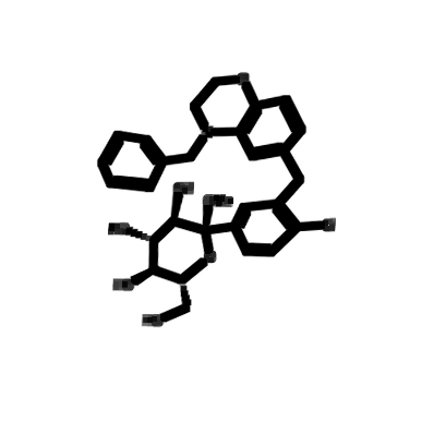 CO[C@@]1(c2ccc(Cl)c(Cc3ccc4c(c3)N(Cc3ccccc3)CCO4)c2)O[C@H](CO)[C@@H](O)[C@H](O)[C@H]1O